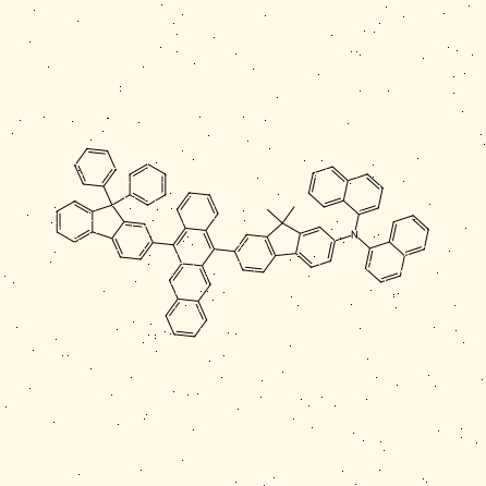 CC1(C)c2cc(-c3c4ccccc4c(-c4ccc5c(c4)C(c4ccccc4)(c4ccccc4)c4ccccc4-5)c4cc5ccccc5cc34)ccc2-c2ccc(N(c3cccc4ccccc34)c3cccc4ccccc34)cc21